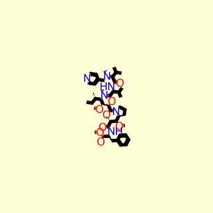 CC[C@H](C)C([C@@H](CC(=O)N1CCC[C@H]1[C@H](OC)[C@@H](C)C(=O)N[C@@H](Cc1ccccc1)C(=O)OC)OC)N(C)C(=O)[C@@H](NC(=O)C(C(C)C)N(C)Cc1ccncc1)C(C)C